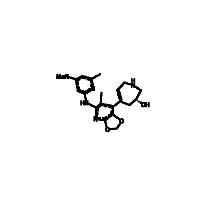 CNc1cc(C)nc(Nc2nc3c(c(C4=CCNC[C@H](O)C4)c2C)OCO3)c1